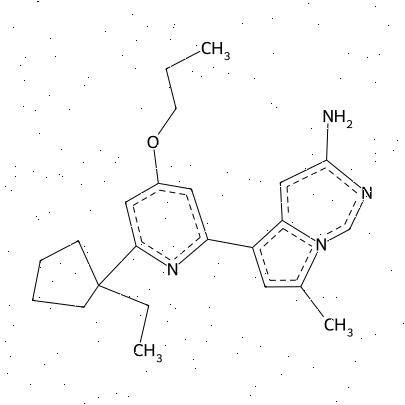 CCCOc1cc(-c2cc(C)n3cnc(N)cc23)nc(C2(CC)CCCC2)c1